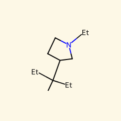 CCN1CCC(C(C)(CC)CC)C1